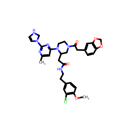 COc1ccc(CCNC(=O)CC2CN(C(=O)Cc3ccc4c(c3)OCO4)CCN2c2cc(C)nc(N3C=CNC3)n2)cc1Cl